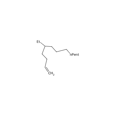 C=CCCC(CC)CCCCCCCC